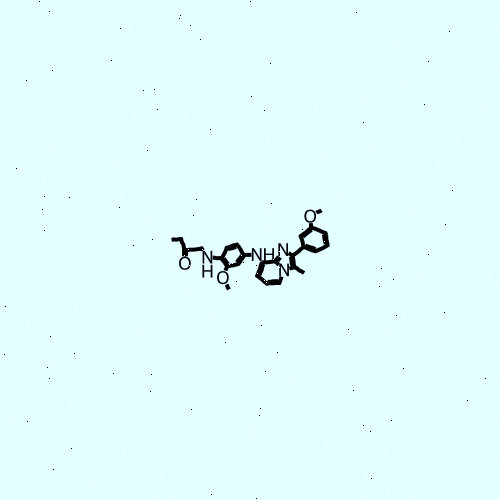 CCC(=O)CNc1ccc(Nc2cccn3c(C)c(-c4cccc(OC)c4)nc23)cc1OC